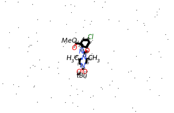 COC(=O)c1cc(Cl)cc2oc(N3[C@@H](C)CN(C(=O)OC(C)(C)C)C[C@@H]3C)nc12